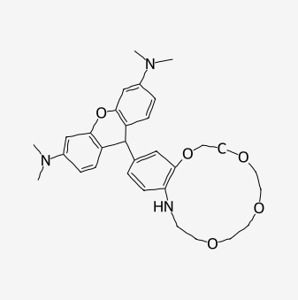 CN(C)c1ccc2c(c1)Oc1cc(N(C)C)ccc1C2c1ccc2c(c1)OCCOCCOCCOCCN2